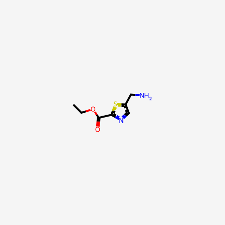 CCOC(=O)c1ncc(CN)s1